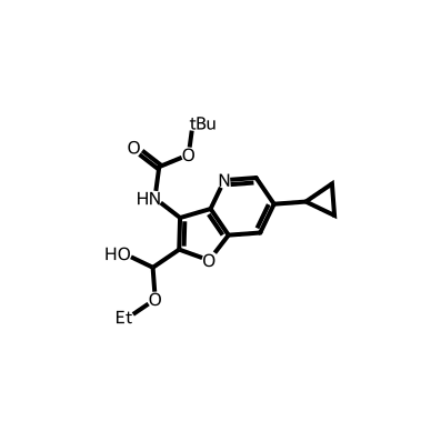 CCOC(O)c1oc2cc(C3CC3)cnc2c1NC(=O)OC(C)(C)C